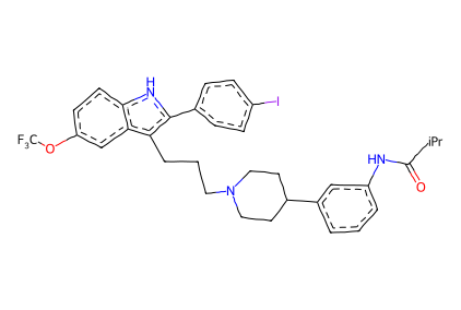 CC(C)C(=O)Nc1cccc(C2CCN(CCCc3c(-c4ccc(I)cc4)[nH]c4ccc(OC(F)(F)F)cc34)CC2)c1